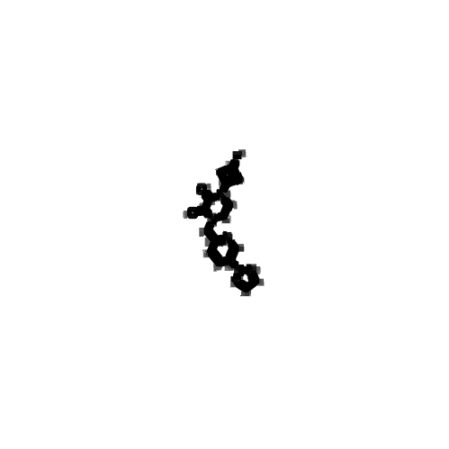 O=C1C(=O)N(C23CC(F)(C2)C3)CCN1Cc1ccc(-n2nccn2)cn1